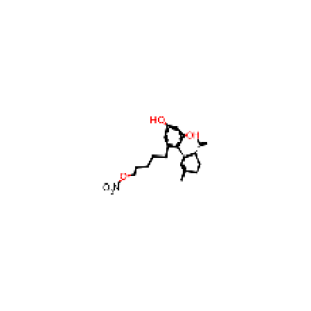 C=C(C)[C@@H]1CCC(C)=C[C@H]1c1c(O)cc(O)cc1CCCCCO[N+](=O)[O-]